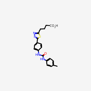 Cc1ccc(NC(=O)Nc2ccc(-c3nnc(CCCC(=O)O)s3)cc2)cc1